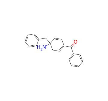 NC1(Cc2ccccc2)C=CC(C(=O)c2ccccc2)=CC1